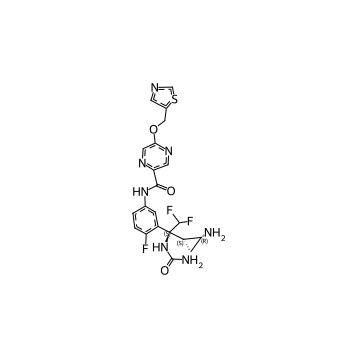 NC(=O)N[C@@](c1cc(NC(=O)c2cnc(OCc3cncs3)cn2)ccc1F)(C(F)F)[C@H]1C[C@H]1N